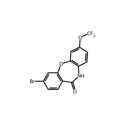 O=C1Nc2ccc(OC(F)(F)F)cc2Oc2cc(Br)ccc21